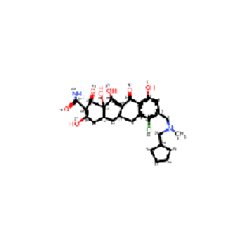 CN(Cc1cc(O)c2c(c1Cl)CC1CC3CC(O)=C(C(N)=O)C(=O)C3(O)C(O)=C1C2=O)CC1CCCC1